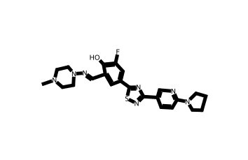 CN1CCN(N=Cc2cc(-c3nc(-c4ccc(N5CCCC5)nc4)ns3)cc(F)c2O)CC1